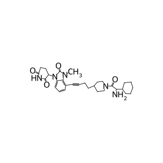 Cn1c(=O)n(C2CCC(=O)NC2=O)c2cccc(C#CCCC3CCN(C(=O)C(N)C4CCCCC4)CC3)c21